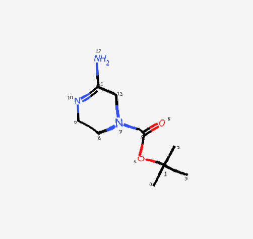 CC(C)(C)OC(=O)N1CCN=C(N)C1